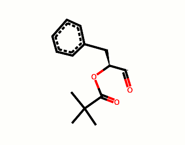 CC(C)(C)C(=O)O[C@H]([C]=O)Cc1ccccc1